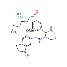 CCCCCCC=O.COc1cc2c(cc1CNC1CCCNC1c1ccccc1)N(O)CC2.Cl.Cl